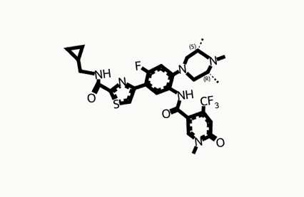 C[C@@H]1CN(c2cc(F)c(-c3csc(C(=O)NCC4CC4)n3)cc2NC(=O)c2cn(C)c(=O)cc2C(F)(F)F)C[C@H](C)N1C